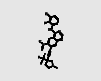 CN1CCC(C#Cc2cc3ncnc(Nc4cccc(Cl)c4F)c3cc2[N+](=O)[O-])(C(F)(F)F)C1